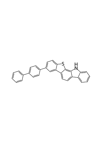 c1ccc(-c2ccc(-c3ccc4sc5c(ccc6c7ccccc7[nH]c65)c4c3)cc2)cc1